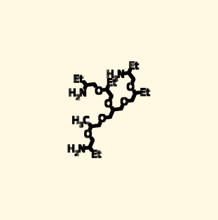 CCC(N)COC(C)COCC(COCC(CC)OCC(N)CC)OCC(CC)OCC(N)CC